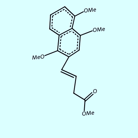 COC(=O)C/C=C/c1cc(OC)c2c(OC)cccc2c1OC